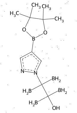 BC(B)(O)C(B)(B)n1cc(B2OC(C)(C)C(C)(C)O2)cn1